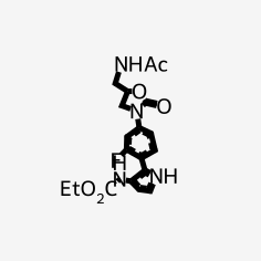 CCOC(=O)Nc1cc[nH]c1-c1ccc(N2CC(CNC(C)=O)OC2=O)cc1F